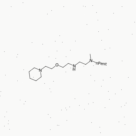 CCCCCN(C)CCNCCOCCN1CCCCC1